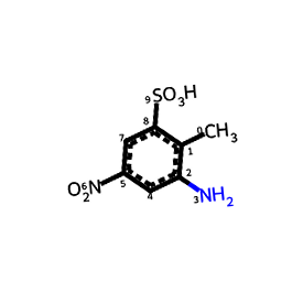 Cc1c(N)cc([N+](=O)[O-])cc1S(=O)(=O)O